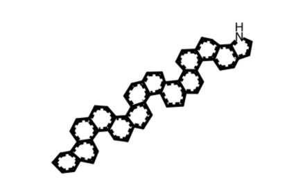 c1ccc2c(c1)ccc1c2ccc2ccc3c(ccc4ccc5c(ccc6ccc7c(ccc8ccc9c(ccc%10ccc%11c(ccc%12cc[nH]c%12%11)c%109)c87)c65)c43)c21